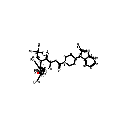 O=C1C(CC(=O)N2CCC(n3c(=O)[nH]c4ncccc43)CC2)C[C@@]23C=C(Br)CN=C(Br)C2=NNC3C1CC(F)(F)F